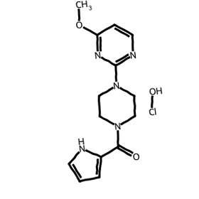 COc1ccnc(N2CCN(C(=O)c3ccc[nH]3)CC2)n1.OCl